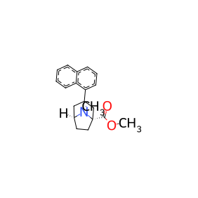 COC(=O)[C@@]12CC[C@@H](CC(c3cccc4ccccc34)C1)N2C